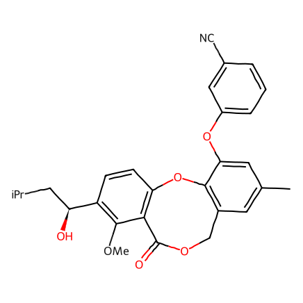 COc1c([C@@H](O)CC(C)C)ccc2c1C(=O)OCc1cc(C)cc(Oc3cccc(C#N)c3)c1O2